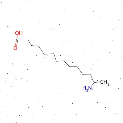 CC(N)CCCCCCCCCCCC(=O)O